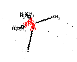 CC(C)(C)C1CCC(OC(=O)OOOOC(=O)OC2CCC(C(C)(C)C)CC2)CC1.CCCCCCCCCCCCCCCCOC(=O)OOC(=O)OCCCCCCCCCCCCCCCC